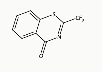 O=c1nc(C(F)(F)F)sc2ccccc12